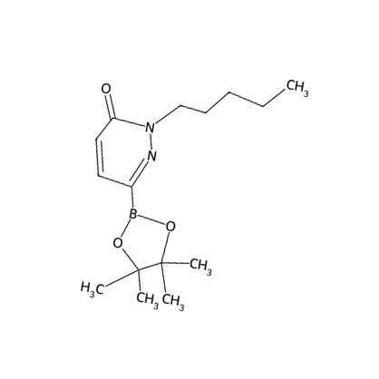 CCCCCn1nc(B2OC(C)(C)C(C)(C)O2)ccc1=O